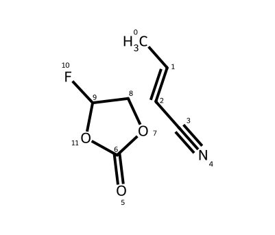 CC=CC#N.O=C1OCC(F)O1